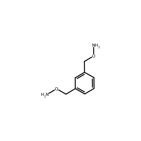 NOCc1cccc(CON)c1